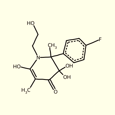 CC1=C(O)N(CCO)C(C)(c2ccc(F)cc2)C(O)(O)C1=O